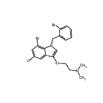 CN(C)CCOc1cn(Cc2ccccc2Br)c2c(Br)cc(Cl)cc12